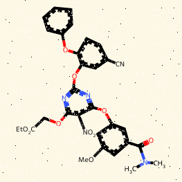 CCOC(=O)COc1nc(Oc2cc(C#N)ccc2Oc2ccccc2)nc(Oc2cc(OC)cc(C(=O)N(C)C)c2)c1[N+](=O)[O-]